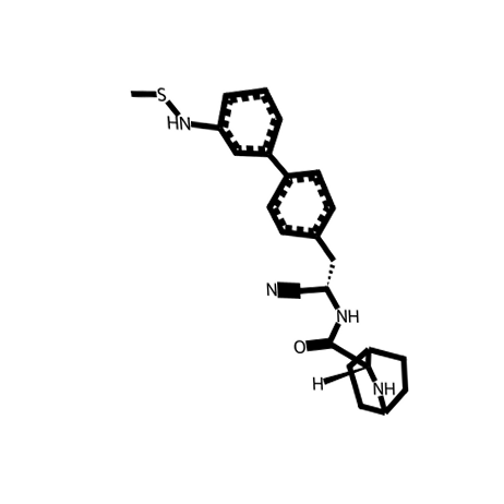 CSNc1cccc(-c2ccc(C[C@@H](C#N)NC(=O)[C@H]3NC4CCC3CC4)cc2)c1